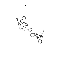 N#CC1C=CC2OC3CCC(C4=CC(C5C=CCC(C6N=C(C7=CCCC=C7)NC(C7=CCCCC7)N6)C5)CC=C4)CC3C3(C4C=CCCC4C4C5CCC=CC5CCC43)C2C1